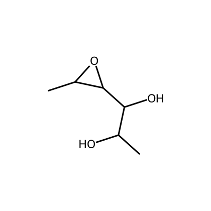 CC(O)C(O)C1OC1C